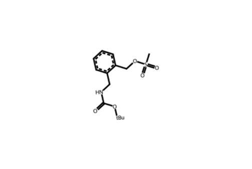 CC(C)(C)OC(=O)NCc1ccccc1COS(C)(=O)=O